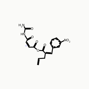 C=CCC(=Cc1cccc([N+](=O)[O-])c1)C(=O)OC(=O)/C=C\C(=O)NC(N)=O